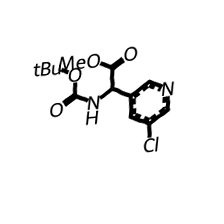 COC(=O)C(NC(=O)OC(C)(C)C)c1cncc(Cl)c1